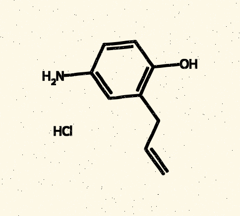 C=CCc1cc(N)ccc1O.Cl